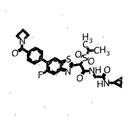 CC(C)S(=O)(=O)C(C(=O)NCC(=O)NC1CC1)c1nc2cc(F)c(-c3ccc(C(=O)N4CCC4)cc3)cc2s1